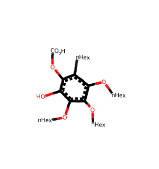 CCCCCCOc1c(O)c(OC(=O)O)c(CCCCCC)c(OCCCCCC)c1OCCCCCC